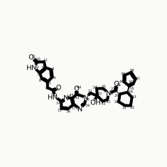 O=C(Cc1ccc2c(c1)NC(=O)C2)Nc1ccc2ncn(CC3(O)CCN(C(=O)[C@H]4CCCC[C@@H]4c4ccccc4)CC3)c(=O)c2n1